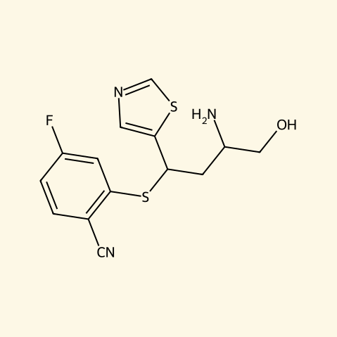 N#Cc1ccc(F)cc1SC(CC(N)CO)c1cncs1